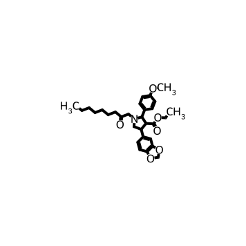 CCCCCCCC(=O)CN1CC(c2ccc3c(c2)OCO3)C(C(=O)OCC)C1c1ccc(OC)cc1